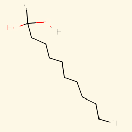 [CH2]C(O)(CCCCCCCCCC)OC